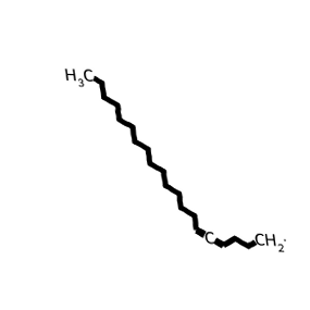 [CH2]CCC=C=CCCCCCCCCCCCCCC